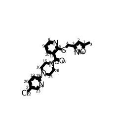 Cc1cc(CSc2ncccc2C(=O)N2CCN(c3ccc(Cl)cn3)CC2)no1